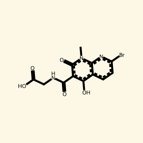 Cn1c(=O)c(C(=O)NCC(=O)O)c(O)c2ccc(Br)nc21